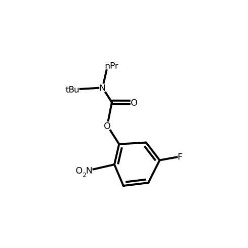 CCCN(C(=O)Oc1cc(F)ccc1[N+](=O)[O-])C(C)(C)C